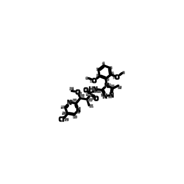 COc1cccc(OC)c1-n1c(C)nnc1NS(=O)(=O)[C@@H](C)[C@H](OC)c1ncc(Cl)cn1